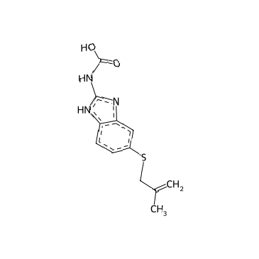 C=C(C)CSc1ccc2[nH]c(NC(=O)O)nc2c1